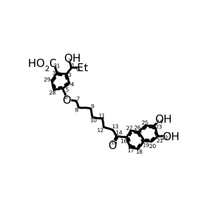 CCC(O)c1cc(OCCCCCCCC(=O)c2ccc3cc(O)c(O)cc3c2)ccc1C(=O)O